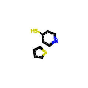 Sc1ccncc1.c1ccsc1